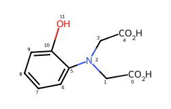 O=C(O)CN(CC(=O)O)c1ccccc1O